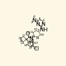 CN(C)c1ccnc(N[C@H]2CC[C@@H](NC(=O)C3(c4ccc(Cl)cc4)CCCC3)CC2)n1